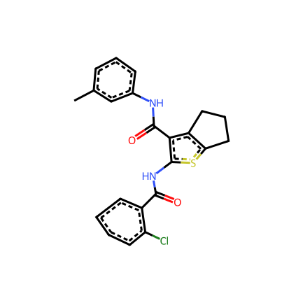 Cc1cccc(NC(=O)c2c(NC(=O)c3ccccc3Cl)sc3c2CCC3)c1